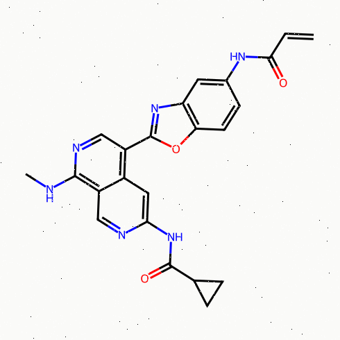 C=CC(=O)Nc1ccc2oc(-c3cnc(NC)c4cnc(NC(=O)C5CC5)cc34)nc2c1